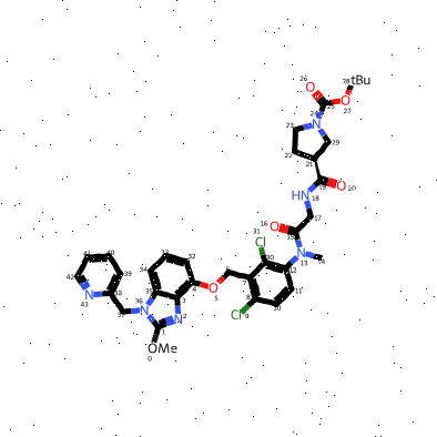 COc1nc2c(OCc3c(Cl)ccc(N(C)C(=O)CNC(=O)[C@H]4CCN(C(=O)OC(C)(C)C)C4)c3Cl)cccc2n1Cc1ccccn1